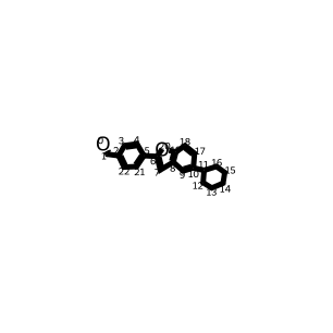 O=Cc1ccc(-c2cc3cc(C4CCCCC4)ccc3o2)cc1